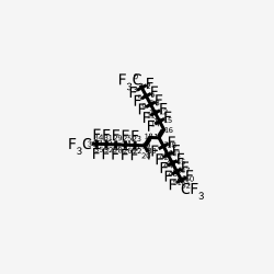 FC(F)(F)C(F)(F)C(F)(F)C(F)(F)C(F)(F)C(F)(F)C=C(C=C(I)C(F)(F)C(F)(F)C(F)(F)C(F)(F)C(F)(F)C(F)(F)F)C(F)(F)C(F)(F)C(F)(F)C(F)(F)C(F)(F)C(F)(F)F